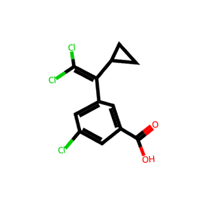 O=C(O)c1cc(Cl)cc(C(=C(Cl)Cl)C2CC2)c1